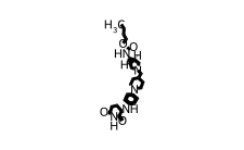 CCCCOC(=O)NC1[C@H]2CN(CC3CCN(c4ccc(NC5CCC(=O)NC5=O)cc4)CC3)C[C@@H]12